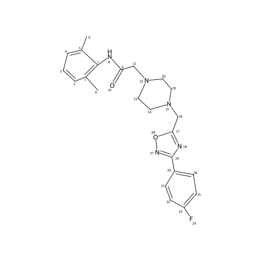 Cc1cccc(C)c1NC(=O)CN1CCN(Cc2nc(-c3ccc(F)cc3)no2)CC1